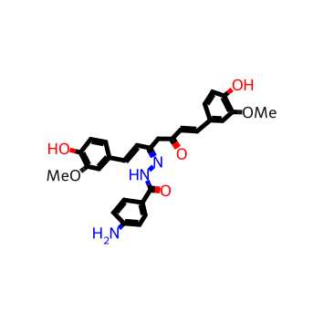 COc1cc(C=CC(=O)CC(C=Cc2ccc(O)c(OC)c2)=NNC(=O)c2ccc(N)cc2)ccc1O